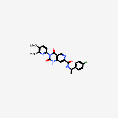 COc1ccc(-n2c(=O)[nH]c3cc(C(=O)NC(C)c4ccc(Cl)cc4)ncc3c2=O)nc1OC